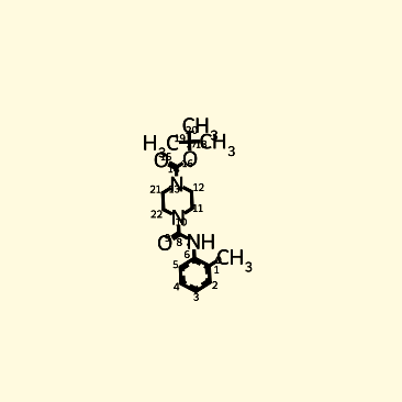 Cc1ccccc1NC(=O)N1CCN(C(=O)OC(C)(C)C)CC1